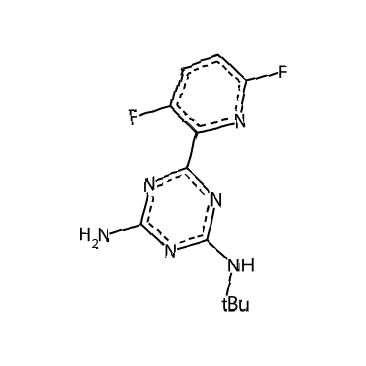 CC(C)(C)Nc1nc(N)nc(-c2nc(F)ccc2F)n1